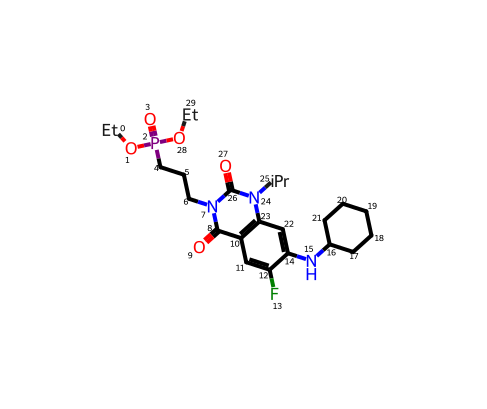 CCOP(=O)(CCCn1c(=O)c2cc(F)c(NC3CCCCC3)cc2n(C(C)C)c1=O)OCC